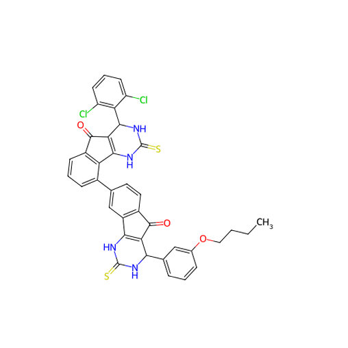 CCCCOc1cccc(C2NC(=S)NC3=C2C(=O)c2ccc(-c4cccc5c4C4=C(C5=O)C(c5c(Cl)cccc5Cl)NC(=S)N4)cc23)c1